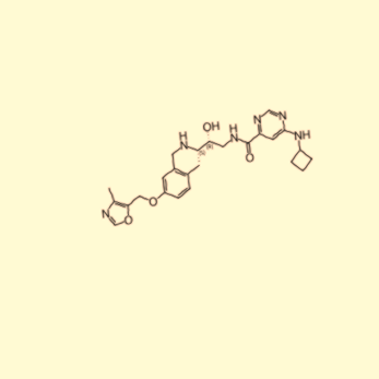 Cc1ncoc1COc1ccc2c(c1)CN[C@H]([C@H](O)CNC(=O)c1cc(NC3CCC3)ncn1)C2